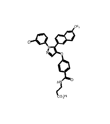 Cc1ccc2cc(-c3c(Oc4ccc(C(=O)NCCC(=O)O)cc4)cnn3-c3cccc(Cl)c3)ccc2c1